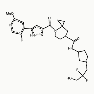 COc1cc(-c2cc(C(=O)N3CCC(C(=O)NC4CCN(CC(F)(F)CO)C4)CC34CC4)n[nH]2)c(F)cn1